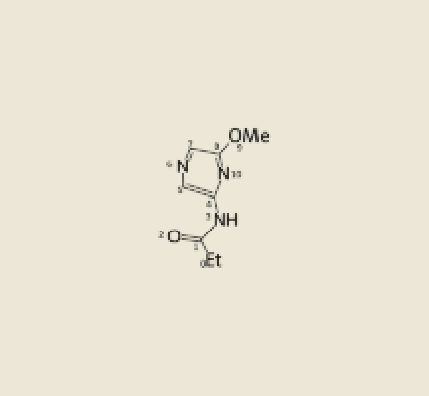 CCC(=O)Nc1cncc(OC)n1